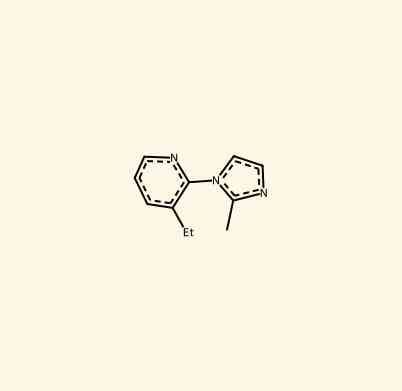 CCc1cccnc1-n1ccnc1C